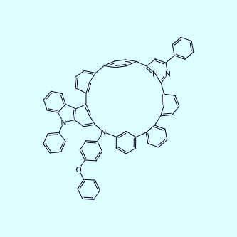 c1ccc(Oc2ccc(N3c4cccc(c4)-c4ccccc4-c4cccc(c4)-c4nc(-c5ccccc5)cc(n4)-c4ccc(cc4)-c4cccc(c4)-c4cc3cc3c4c4ccccc4n3-c3ccccc3)cc2)cc1